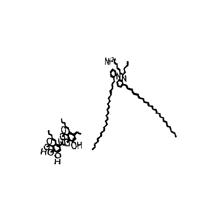 CCCCCCCCCCCCCCCCCCCC=CCCCc1ccccc1N=C(CCCC)C(CCCCC)=Nc1ccccc1CCCC=CCCCCCCCCCCCCCCCCCCC.CCCCCc1c(CC)cc(O)c(O)c1C(=O)[O-].CCCCCc1c(CC)cc(O)c(O)c1C(=O)[O-].[Ni+2]